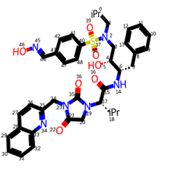 CC(C)CN(C[C@@H](O)[C@H](Cc1ccccc1)NC(=O)[C@H](C(C)C)N1CC(=O)N(Cc2ccc3ccccc3n2)C1=O)S(=O)(=O)c1ccc(/C=N/O)cc1